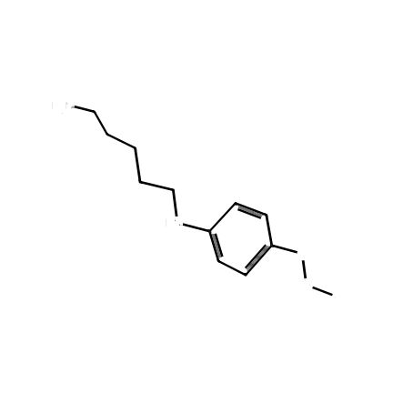 NCCCCCNc1ccc(SOO)cc1